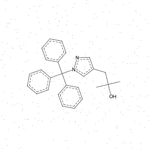 CC(C)(O)Cc1cnn(C(c2ccccc2)(c2ccccc2)c2ccccc2)c1